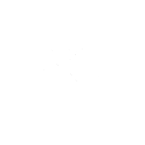 CC1(C)[C@H]2CC[C@]1(c1cncc(Br)n1)c1nnc(-c3c(F)cccc3F)cc12